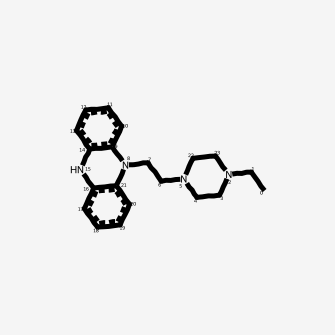 CCN1CCN(CCN2c3ccccc3Nc3ccccc32)CC1